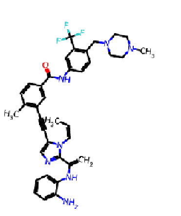 C=C(Nc1ccccc1N)c1ncc(C#Cc2cc(C(=O)Nc3ccc(CN4CCN(C)CC4)c(C(F)(F)F)c3)ccc2C)n1/C=C\C